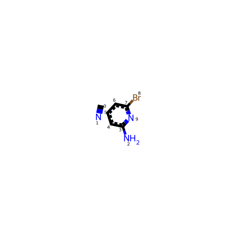 C#N.Nc1cccc(Br)n1